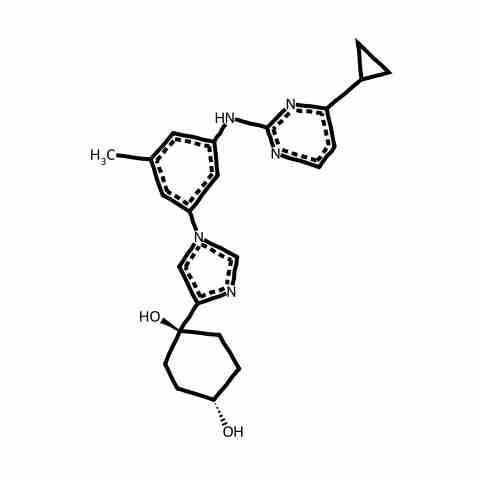 Cc1cc(Nc2nccc(C3CC3)n2)cc(-n2cnc([C@]3(O)CC[C@H](O)CC3)c2)c1